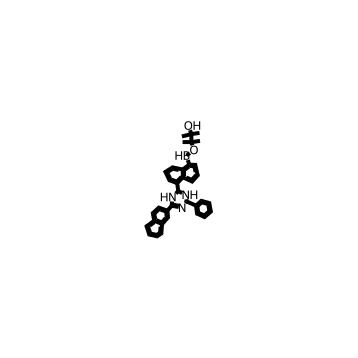 CC(C)(O)C(C)(C)OBc1cccc2c(C3NC(c4ccc5ccccc5c4)=NC(c4ccccc4)N3)cccc12